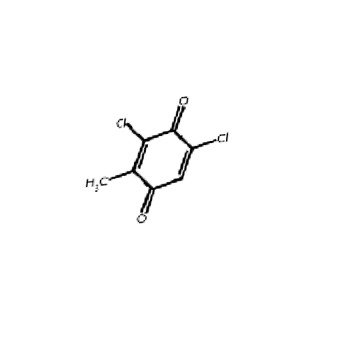 CC1=C(Cl)C(=O)C(Cl)=CC1=O